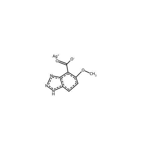 COc1ccc2[nH]nnc2c1C(=O)[O-].[Ag+]